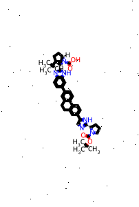 CC(C)(C)OC(=O)N1CCC[C@H]1c1ncc(-c2ccc3c(c2)CCc2cc(-c4ccc5nc([C@H]6N(C(=O)O)[C@@H]7CCC6(C(C)(C)C)C7)[nH]c5c4)ccc2-3)[nH]1